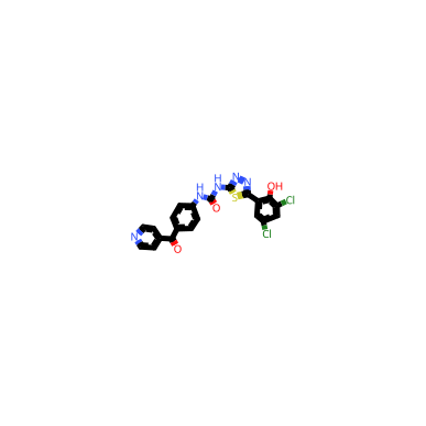 O=C(Nc1ccc(C(=O)c2ccncc2)cc1)Nc1nnc(-c2cc(Cl)cc(Cl)c2O)s1